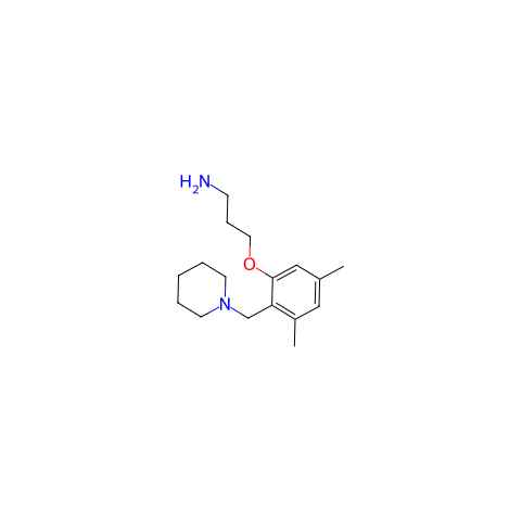 Cc1cc(C)c(CN2CCCCC2)c(OCCCN)c1